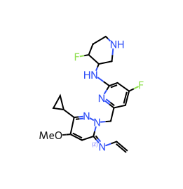 C=C/N=c1/cc(OC)c(C2CC2)nn1Cc1cc(F)cc(NC2CNCCC2F)n1